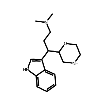 CN(C)CCC(c1c[nH]c2ccccc12)C1CNCCO1